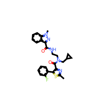 Cc1nc(C(=O)N(CCNC(=O)c2nn(C)c3ccccc23)CC2CC2)c(-c2ccccc2F)s1